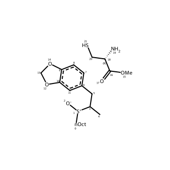 CCCCCCCC[S+]([O-])C(C)Cc1ccc2c(c1)OCO2.COC(=O)[C@@H](N)CS